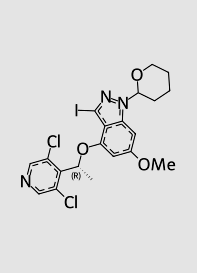 COc1cc(O[C@H](C)c2c(Cl)cncc2Cl)c2c(I)nn(C3CCCCO3)c2c1